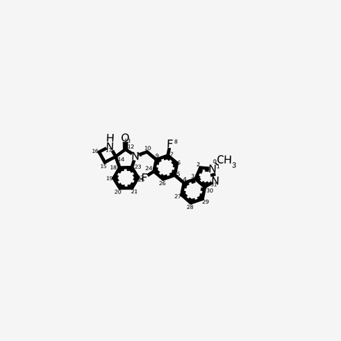 Cn1cc2c(-c3cc(F)c(CN4C(=O)C5(CCN5)c5ccccc54)c(F)c3)cccc2n1